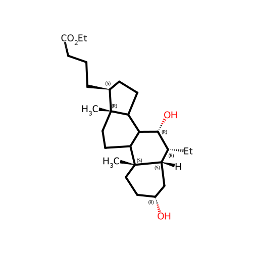 CCOC(=O)CCC[C@H]1CCC2C3C(CC[C@@]21C)[C@@]1(C)CC[C@@H](O)C[C@H]1[C@@H](CC)[C@H]3O